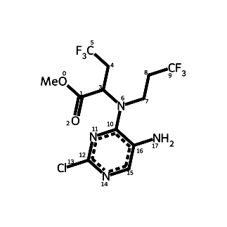 COC(=O)C(CC(F)(F)F)N(CCC(F)(F)F)c1nc(Cl)ncc1N